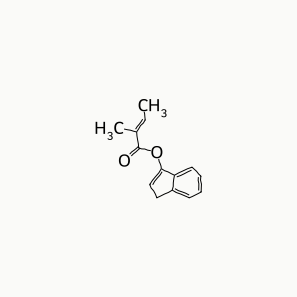 CC=C(C)C(=O)OC1=CCc2ccccc21